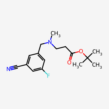 CN(CCC(=O)OC(C)(C)C)Cc1cc(F)cc(C#N)c1